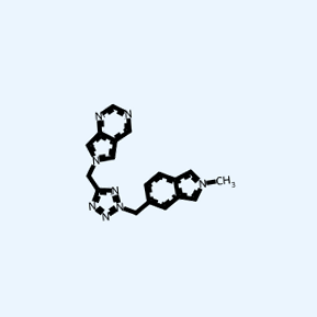 Cn1cc2ccc(Cn3nnc(Cn4cc5cncnc5c4)n3)cc2c1